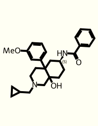 COc1cccc(C23CCN(CC4CC4)CC2(O)CC[C@H](NC(=O)c2ccccc2)C3)c1